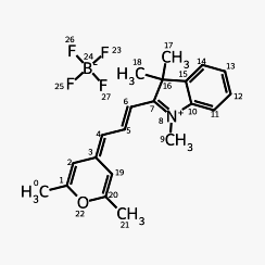 CC1=CC(=CC=CC2=[N+](C)c3ccccc3C2(C)C)C=C(C)O1.F[B-](F)(F)F